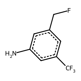 Nc1cc(CF)cc(C(F)(F)F)c1